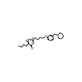 CCCCc1c(C)[nH]c(NCCCOc2cccc(CN3CCCCC3)c2)nc1=O